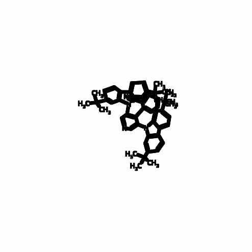 CC(C)(C)c1ccc2c3ccc(C(C)(C)C)cc3n(-c3cncc(-n4c5cc(C(C)(C)C)ccc5c5ccc(C(C)(C)C)cc54)c3-c3ccccc3C#N)c2c1